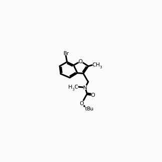 Cc1oc2c(Br)cccc2c1CN(C)C(=O)OC(C)(C)C